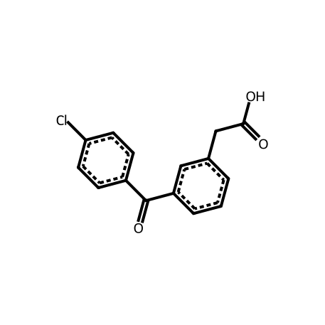 O=C(O)Cc1cccc(C(=O)c2ccc(Cl)cc2)c1